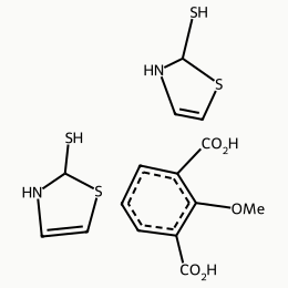 COc1c(C(=O)O)cccc1C(=O)O.SC1NC=CS1.SC1NC=CS1